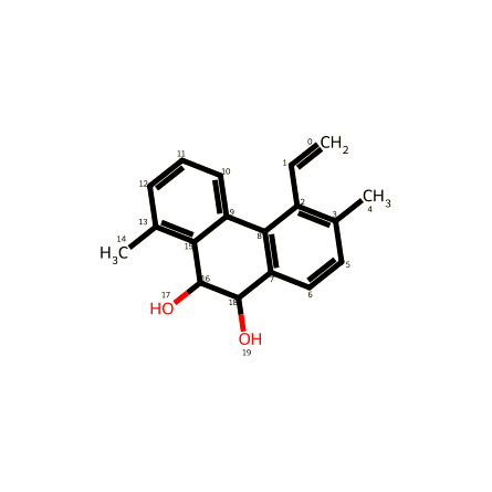 C=Cc1c(C)ccc2c1-c1cccc(C)c1C(O)C2O